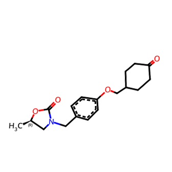 C[C@@H]1CN(Cc2ccc(OCC3CCC(=O)CC3)cc2)C(=O)O1